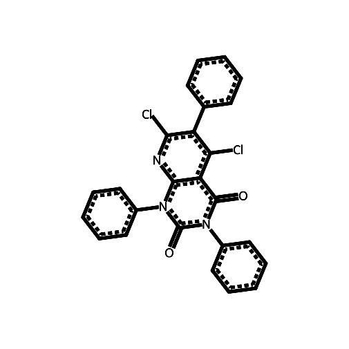 O=c1c2c(Cl)c(-c3ccccc3)c(Cl)nc2n(-c2ccccc2)c(=O)n1-c1ccccc1